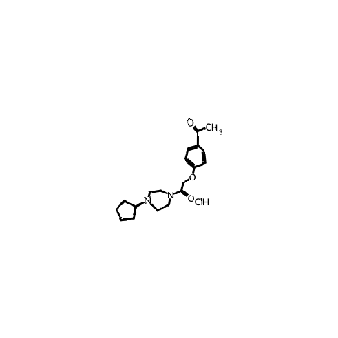 CC(=O)c1ccc(OCC(=O)N2CCN(C3CCCC3)CC2)cc1.Cl